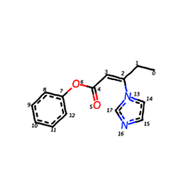 CCC(=CC(=O)Oc1ccccc1)n1ccnc1